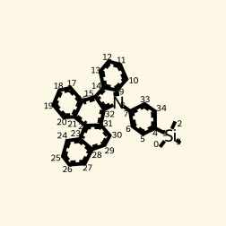 C[Si](C)(C)c1ccc(-n2c3ccccc3c3c4ccccc4c4c5ccccc5ccc4c32)cc1